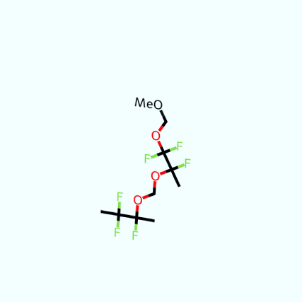 COCOC(F)(F)C(C)(F)OCOC(C)(F)C(C)(F)F